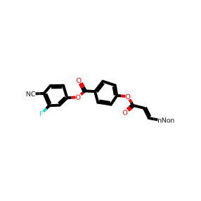 CCCCCCCCCC=CC(=O)Oc1ccc(C(=O)Oc2ccc(C#N)c(F)c2)cc1